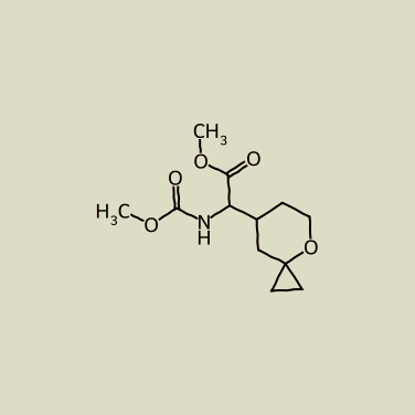 COC(=O)NC(C(=O)OC)C1CCOC2(CC2)C1